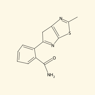 Cc1nc2c(s1)N=C(c1ccccc1C(N)=O)C2